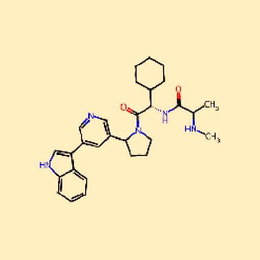 CNC(C)C(=O)N[C@H](C(=O)N1CCCC1c1cncc(-c2c[nH]c3ccccc23)c1)C1CCCCC1